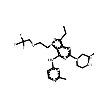 CCc1nn(CCOCC(F)(F)F)c2c(Nc3ccnc(C)n3)nc(N3CCN[C@H](C)C3)nc12